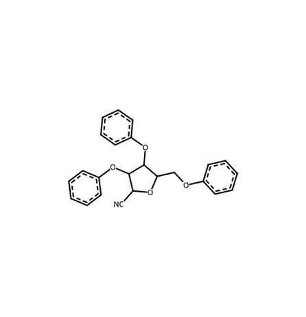 N#CC1OC(COc2ccccc2)C(Oc2ccccc2)C1Oc1ccccc1